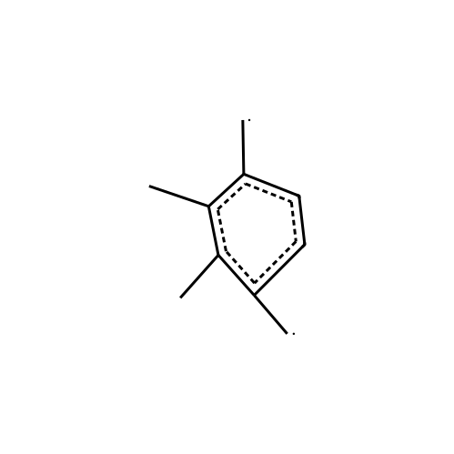 [CH2]c1ccc([CH2])c(C)c1C